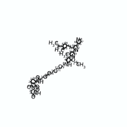 CCCOc1cc(NCCOCCOCCOCCOCCC(=O)Nc2cccc3c2C(=O)N(C2CCC(=O)NC2=O)C3=O)ccc1-c1ncc(-c2ncc(-c3cccnc3)cc2/C=C/c2ccc([C@H]3CC3C)c(C)c2)cc1C